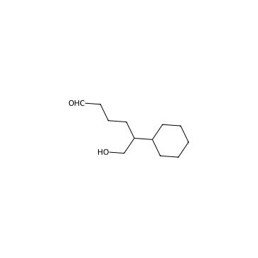 O=CCCCC(CO)C1CCCCC1